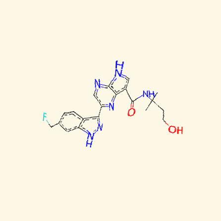 CC(C)(CCO)NC(=O)c1c[nH]c2ncc(-c3n[nH]c4cc(CF)ccc34)nc12